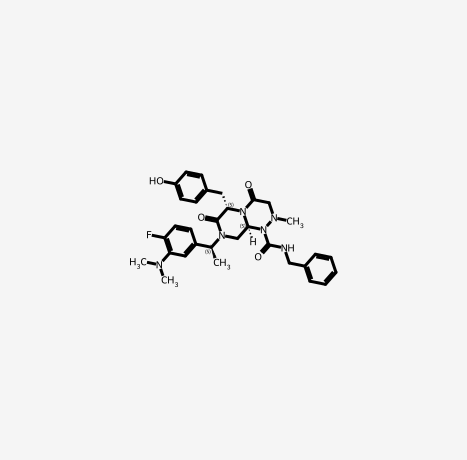 C[C@@H](c1ccc(F)c(N(C)C)c1)N1C[C@H]2N(C(=O)CN(C)N2C(=O)NCc2ccccc2)[C@@H](Cc2ccc(O)cc2)C1=O